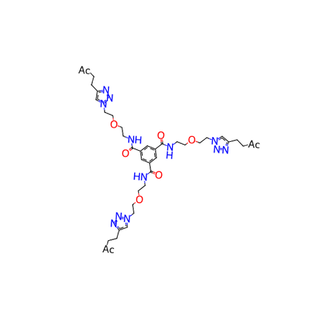 CC(=O)CCc1cn(CCOCCNC(=O)c2cc(C(=O)NCCOCCn3cc(CCC(C)=O)nn3)cc(C(=O)NCCOCCn3cc(CCC(C)=O)nn3)c2)nn1